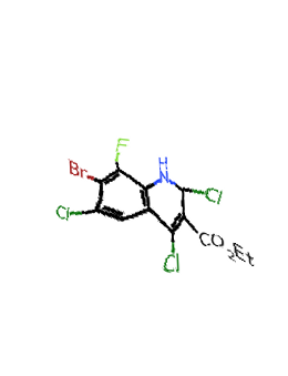 CCOC(=O)C1=C(Cl)c2cc(Cl)c(Br)c(F)c2NC1Cl